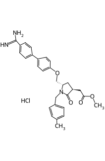 COC(=O)C[C@@H]1C[C@@H](COc2ccc(-c3ccc(C(=N)N)cc3)cc2)N(Cc2ccc(C)cc2)C1=O.Cl